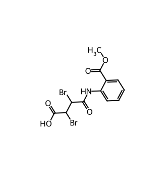 COC(=O)c1ccccc1NC(=O)C(Br)C(Br)C(=O)O